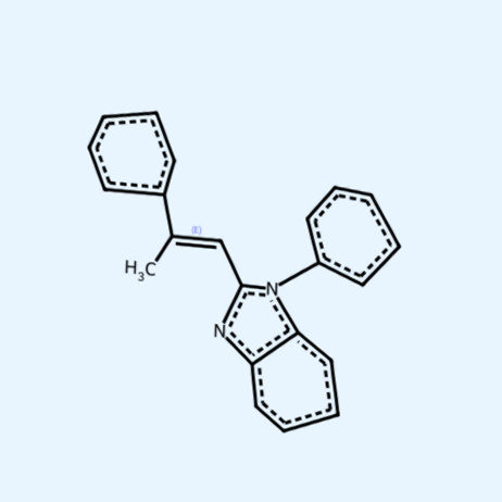 C/C(=C\c1nc2ccccc2n1-c1ccccc1)c1ccccc1